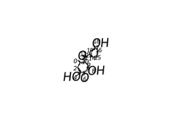 Cc1cc(O)c(=O)c(O)cc1C(=O)c1cccc(O)c1